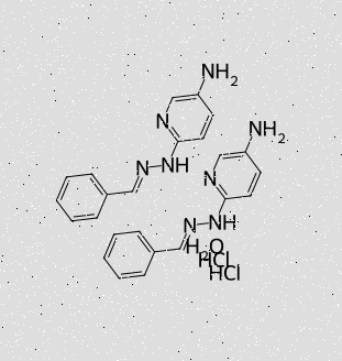 Cl.Cl.Nc1ccc(NN=Cc2ccccc2)nc1.Nc1ccc(NN=Cc2ccccc2)nc1.O